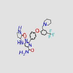 NC(=O)c1cc(NC2CCNC2=O)nc(-c2ccc(Oc3ccc(C(F)(F)F)cc3CN3CCCCC3)cc2)n1